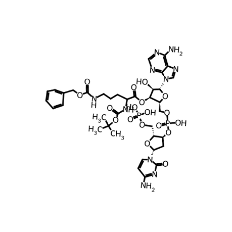 CC(C)(C)OC(=O)NC(CCCNC(=O)OCc1ccccc1)C(=O)O[C@H]1[C@@H](O)[C@H](n2cnc3c(N)ncnc32)O[C@H]1COP(=O)(O)O[C@H]1C[C@H](n2ccc(N)nc2=O)O[C@@H]1COP(=O)(O)O